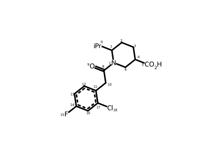 CC(C)C1CCC(C(=O)O)CN1C(=O)Cc1ccc(F)cc1Cl